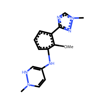 COc1c(NC2=CNN(C)C=C2)cccc1-c1ncn(C)n1